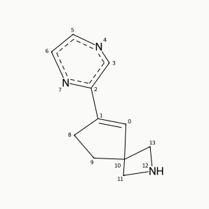 C1=C(c2cnccn2)CCC12CNC2